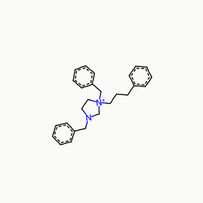 c1ccc(CCC[N+]2(Cc3ccccc3)CCN(Cc3ccccc3)C2)cc1